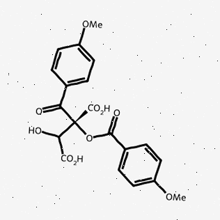 COc1ccc(C(=O)O[C@@](C(=O)O)(C(=O)c2ccc(OC)cc2)C(O)C(=O)O)cc1